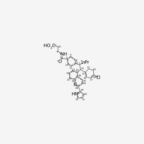 CCC[C@H](c1ccc(C(=O)NCCC(=O)O)cc1)C(C1=CC=C(Cl)CC1)c1cccc2nc(-c3ccc[nH]3)ccc12